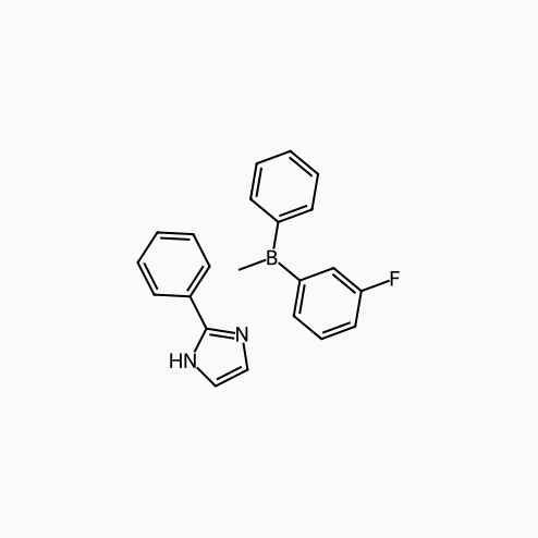 CB(c1ccccc1)c1cccc(F)c1.c1ccc(-c2ncc[nH]2)cc1